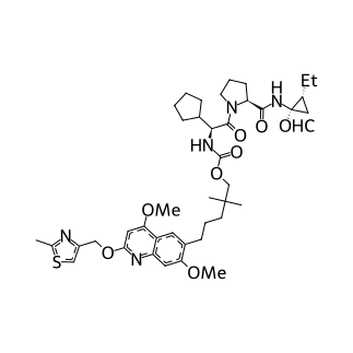 CC[C@@H]1C[C@@]1(C=O)NC(=O)[C@@H]1CCCN1C(=O)[C@@H](NC(=O)OCC(C)(C)CCCc1cc2c(OC)cc(OCc3csc(C)n3)nc2cc1OC)C1CCCC1